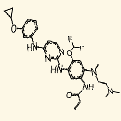 C=CC(=O)Nc1cc(Nc2nccc(Nc3cccc(OC4CC4)c3)n2)c(OC(F)F)cc1N(C)CCN(C)C